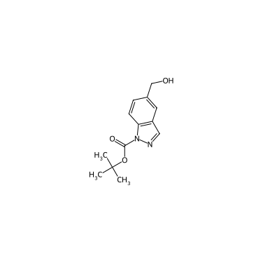 CC(C)(C)OC(=O)n1ncc2cc(CO)ccc21